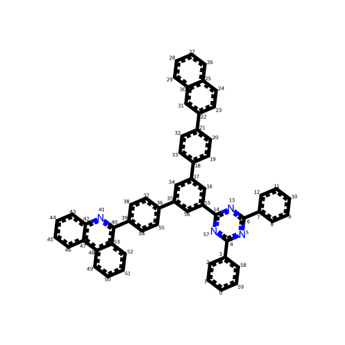 c1ccc(-c2nc(-c3ccccc3)nc(-c3cc(-c4ccc(-c5ccc6ccccc6c5)cc4)cc(-c4ccc(-c5nc6ccccc6c6ccccc56)cc4)c3)n2)cc1